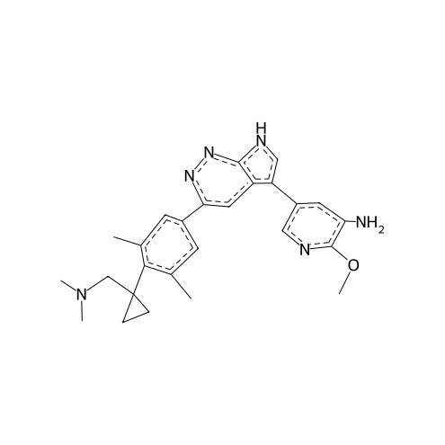 COc1ncc(-c2c[nH]c3nnc(-c4cc(C)c(C5(CN(C)C)CC5)c(C)c4)cc23)cc1N